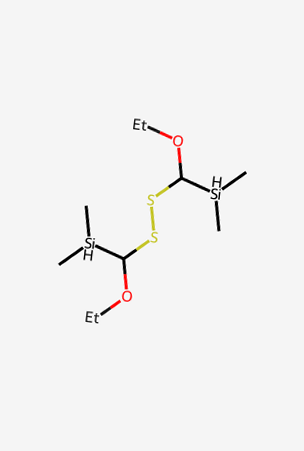 CCOC(SSC(OCC)[SiH](C)C)[SiH](C)C